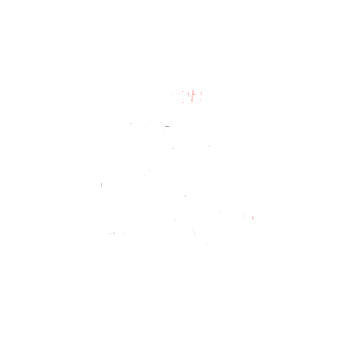 CCOc1c(C(=O)O)ccc(C(=O)O)c1OCC